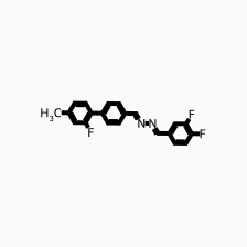 Cc1ccc(-c2ccc(C=NN=Cc3ccc(F)c(F)c3)cc2)c(F)c1